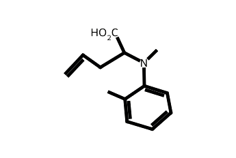 C=CCC(C(=O)O)N(C)c1ccccc1C